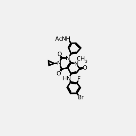 CC(=O)Nc1cccc(-n2c(=O)n(C3CC3)c(=O)c3c(Nc4ccc(Br)cc4F)cc(=O)n(C)c32)c1